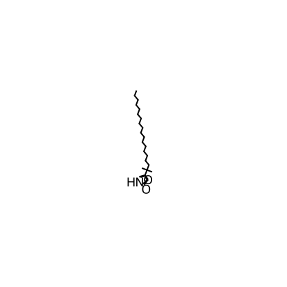 CCCCCCCCCCCCCCCCCC(C)(C)c1c[nH]c(=O)o1